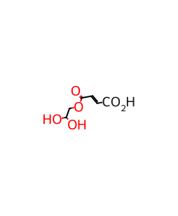 O=C(O)C=CC(=O)OCC(O)O